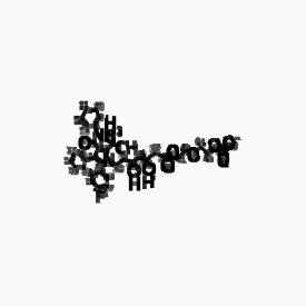 CC(C)c1c(C(=O)Nc2ccccc2)c(-c2ccccc2)c(-c2ccc(F)cc2)n1CCC(O)CC(O)CC(=O)OCCOCCO[N+](=O)[O-]